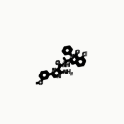 COc1cccc(-c2cnc(N)c(C(=O)N[C@@H](C)c3cc4cccc(Cl)c4c(=O)n3-c3ccccc3)n2)c1